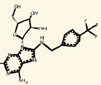 Nc1ncnc2c1nc(NCc1ccc(C(F)(F)F)cc1)n2[C@@H]1O[C@H](CO)[C@@H](O)[C@H]1O